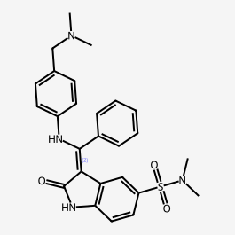 CN(C)Cc1ccc(N/C(=C2\C(=O)Nc3ccc(S(=O)(=O)N(C)C)cc32)c2ccccc2)cc1